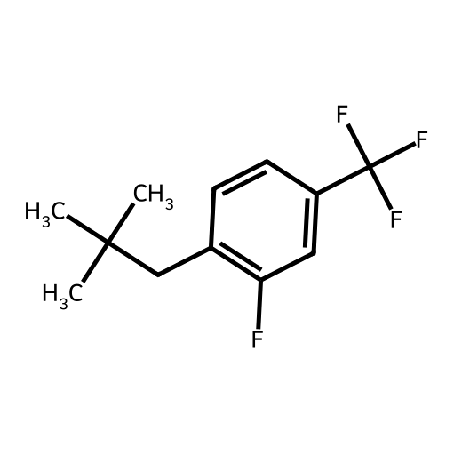 CC(C)(C)Cc1ccc(C(F)(F)F)cc1F